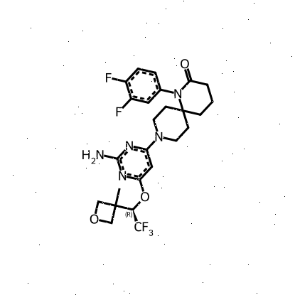 CC1([C@@H](Oc2cc(N3CCC4(CCCC(=O)N4c4ccc(F)c(F)c4)CC3)nc(N)n2)C(F)(F)F)COC1